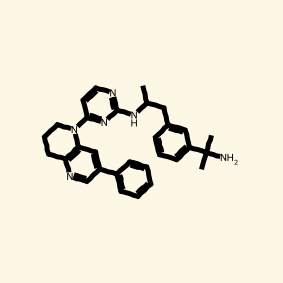 CC(Cc1cccc(C(C)(C)N)c1)Nc1nccc(N2CCCc3ncc(-c4ccccc4)cc32)n1